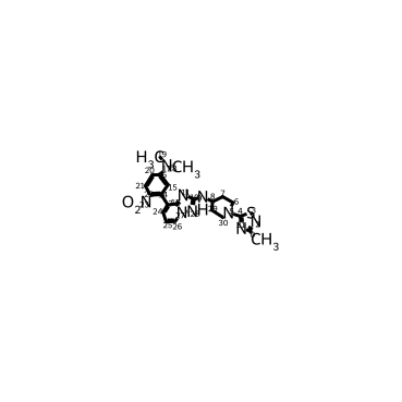 Cc1nsc(N2CCC(Nc3nc4c(-c5cc(N(C)C)ccc5[N+](=O)[O-])cccn4n3)CC2)n1